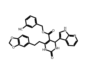 N#Cc1cccc(COC(=O)C2=C(CCc3ccc4c(c3)OCO4)NC(=O)NC2c2c[nH]c3ncccc23)c1